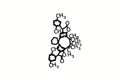 Cc1ccc(C)c(C2C(=O)Oc3c2cc2cc3C(C)(C)C(C)C(C)(C)c3cc(cc4c3OC(=O)C4c3cc(C)ccc3C)C23CCCCC3)c1